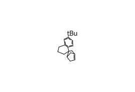 CC(C)(C)c1ccc2c(c1)CCCC21CC2=CCC1C2